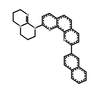 c1ccc2cc(-c3ccc4ccc5ccc(N6CCCN7CCCN=C76)nc5c4n3)ccc2c1